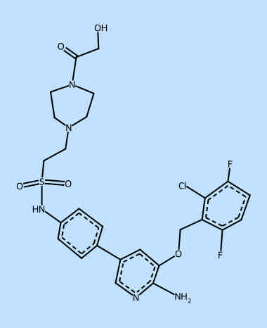 Nc1ncc(-c2ccc(NS(=O)(=O)CCN3CCN(C(=O)CO)CC3)cc2)cc1OCc1c(F)ccc(F)c1Cl